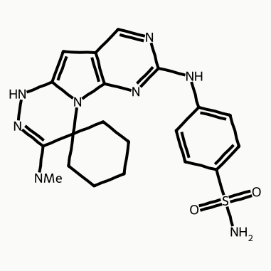 CNC1=NNc2cc3cnc(Nc4ccc(S(N)(=O)=O)cc4)nc3n2C12CCCCC2